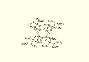 COC([SiH3])C(OC)(OC)O[Si]1(C)O[Si](C)(OC(OC)(OC)C([SiH3])OC)O[Si](C)(OC(OC)(OC)C([SiH3])OC)O[Si](C)(OC(OC)(OC)C([SiH3])OC)O1